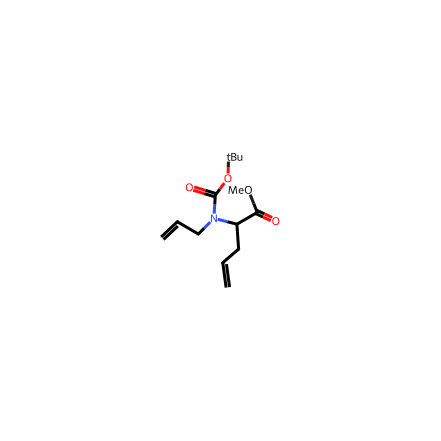 C=CCC(C(=O)OC)N(CC=C)C(=O)OC(C)(C)C